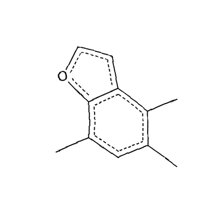 Cc1cc(C)c2occc2c1C